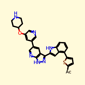 CC(=O)c1ccc(-c2cccc3[nH]c(-c4n[nH]c5ncc(-c6cncc(OC7CCNCC7)c6)cc45)cc23)s1